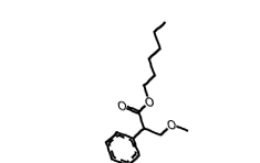 CCCCCCOC(=O)C(COC)c1ccccc1